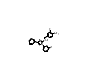 Fc1cccc(-n2cc(-c3ccccc3)nc2NCc2ccc(C(F)(F)F)c(F)c2)c1